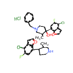 CC1CN(Cc2ccccc2)CCC1(O)c1cc(F)c(Cl)c2ccoc12.CC1CNCCC1c1cc(F)c(Cl)c2ccoc12.Cl